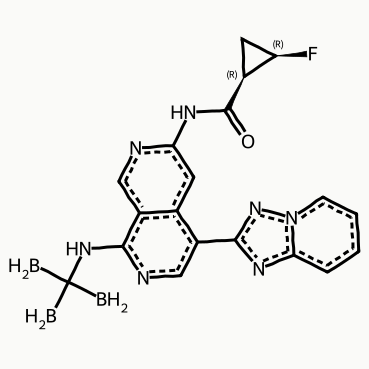 BC(B)(B)Nc1ncc(-c2nc3ccccn3n2)c2cc(NC(=O)[C@H]3C[C@H]3F)ncc12